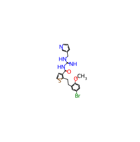 COc1ccc(Br)cc1CCc1sccc1C(=O)NC(=N)NCc1cccnc1